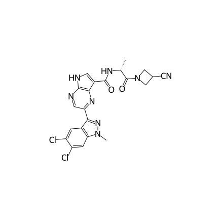 C[C@@H](NC(=O)c1c[nH]c2ncc(-c3nn(C)c4cc(Cl)c(Cl)cc34)nc12)C(=O)N1CC(C#N)C1